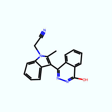 Cc1c(-c2nnc(O)c3ccccc23)c2ccccc2n1CC#N